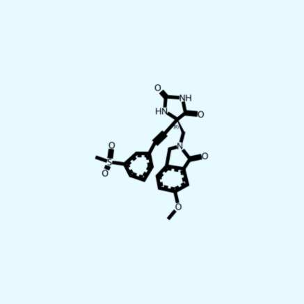 COc1ccc2c(c1)C(=O)N(C[C@@]1(C#Cc3cccc(S(C)(=O)=O)c3)NC(=O)NC1=O)C2